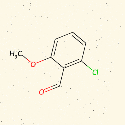 COc1cccc(Cl)c1[C]=O